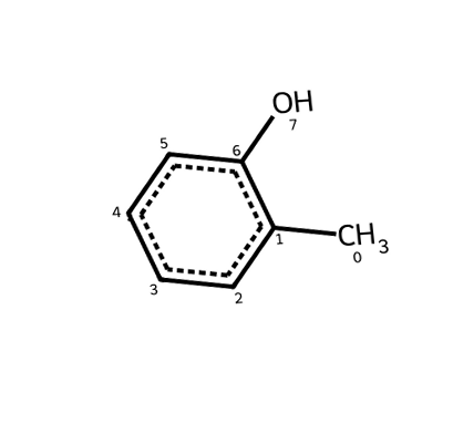 Cc1cc[c]cc1O